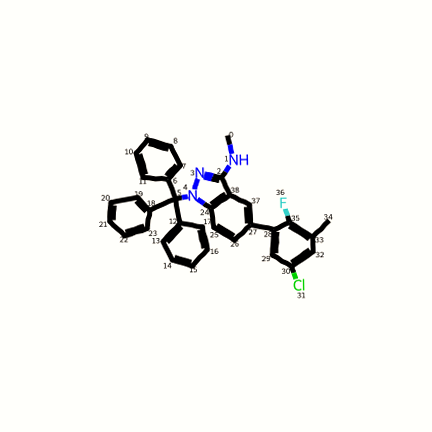 CNc1nn(C(c2ccccc2)(c2ccccc2)c2ccccc2)c2ccc(-c3cc(Cl)cc(C)c3F)cc12